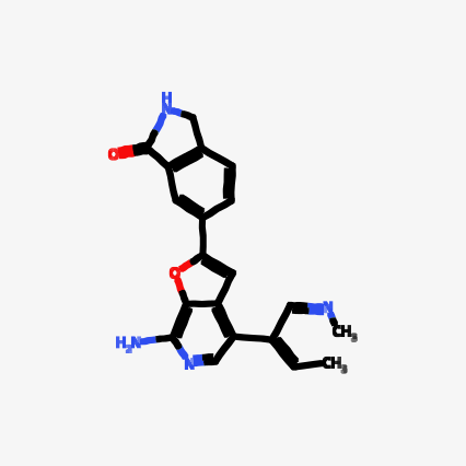 C/C=C(\C=N/C)c1cnc(N)c2oc(-c3ccc4c(c3)C(=O)NC4)cc12